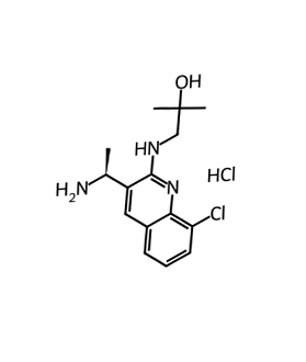 C[C@H](N)c1cc2cccc(Cl)c2nc1NCC(C)(C)O.Cl